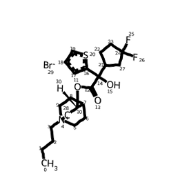 CCCC[N+]12CCC(CC1)[C@@H](OC(=O)C(O)(c1cccs1)C1CCC(F)(F)C1)C2.[Br-]